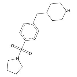 O=S(=O)(c1ccc(CC2CCNCC2)cc1)N1CCCC1